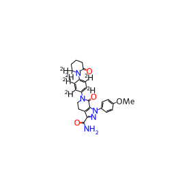 [2H]c1c([2H])c(N2C(=O)CCCC2([2H])[2H])c([2H])c([2H])c1N1CCc2c(C(N)=O)nn(-c3ccc(OC)cc3)c2C1=O